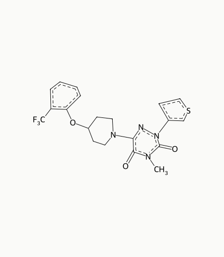 Cn1c(=O)c(N2CCC(Oc3ccccc3C(F)(F)F)CC2)nn(-c2ccsc2)c1=O